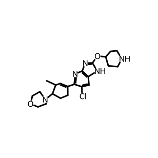 CC1C=C(c2nc3nc(OC4CCNCC4)[nH]c3cc2Cl)CCC1N1CCOCC1